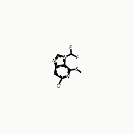 CSc1nc(Cl)cc2ncn(C(F)F)c12